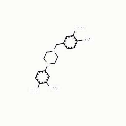 Bc1ccc(N2CCN(Cc3ccc(OC)c(OC)c3)CC2)cc1OC